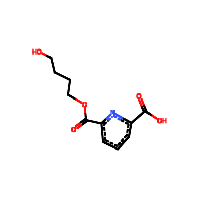 O=C(O)c1cccc(C(=O)OCCCCO)n1